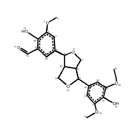 COc1cc(C2OCC3C(c4cc(OC)c(O)c(OC)c4)OCC23)cc(C=O)c1O